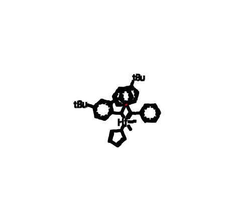 CC(C)(C)c1ccc2c(c1)-c1cc(C(C)(C)C)ccc1[CH]2[Hf]([CH3])([CH3])(=[C](c1ccccc1)c1ccccc1)[CH]1C=CC=C1